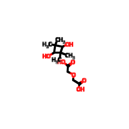 CC1(C)C(O)C(C)(C)C1O.O=C(O)COCC(=O)O